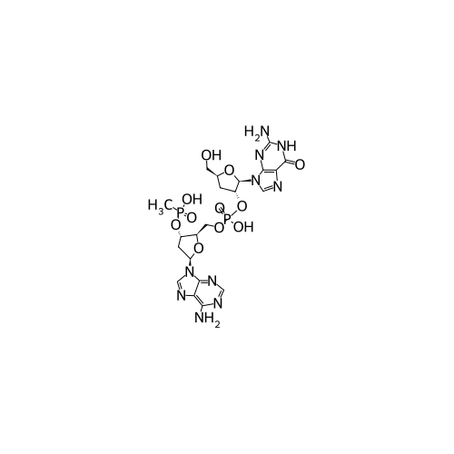 CP(=O)(O)O[C@H]1C[C@H](n2cnc3c(N)ncnc32)O[C@@H]1COP(=O)(O)O[C@@H]1C[C@@H](CO)O[C@H]1n1cnc2c(=O)[nH]c(N)nc21